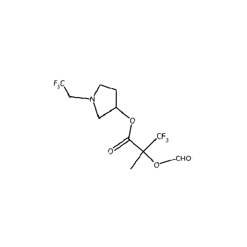 CC(O[C]=O)(C(=O)OC1CCN(CC(F)(F)F)C1)C(F)(F)F